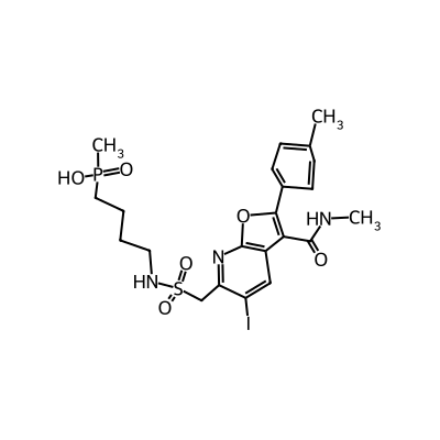 CNC(=O)c1c(-c2ccc(C)cc2)oc2nc(CS(=O)(=O)NCCCCP(C)(=O)O)c(I)cc12